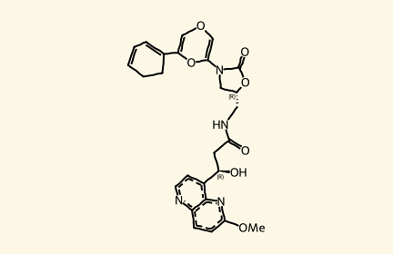 COc1ccc2nccc([C@H](O)CC(=O)NC[C@@H]3CN(C4=COC=C(C5=CC=CCC5)O4)C(=O)O3)c2n1